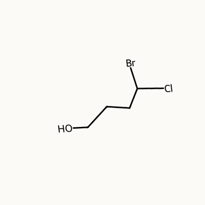 OCCCC(Cl)Br